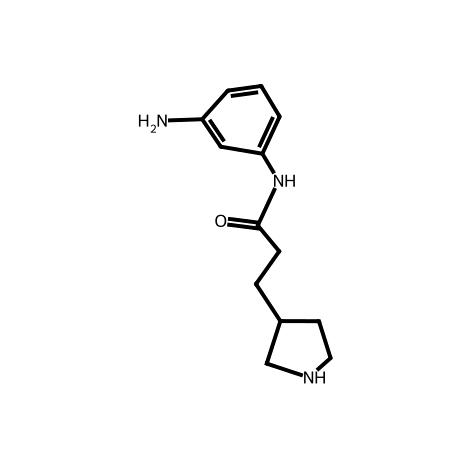 Nc1cccc(NC(=O)CCC2CCNC2)c1